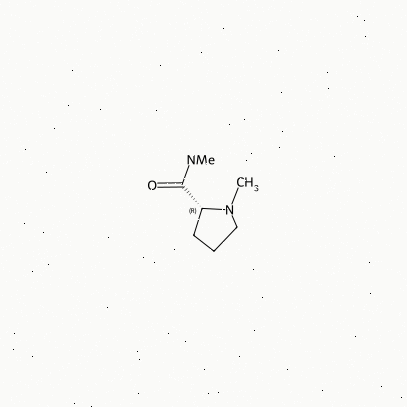 CNC(=O)[C@H]1CCCN1C